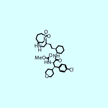 COC(=O)N[C@H](C(=O)N[C@H]1CCCC[C@@H]1CC[C@H]1CN[C@@H]2CCCS(=O)(=O)N1C2)[C@@H](c1ccc(Cl)cc1)C1CCOCC1